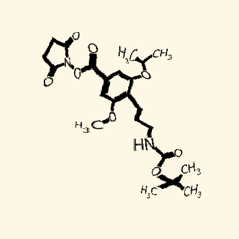 COc1cc(C(=O)ON2C(=O)CCC2=O)cc(OC(C)C)c1CCCNC(=O)OC(C)(C)C